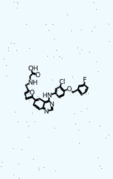 O=C(O)CNCc1ccc(-c2ccc3ncnc(Nc4ccc(OCc5cccc(F)c5)c(Cl)c4)c3c2)o1